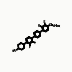 CCCCCCOc1ccc(-c2ccc(-c3ccc(C4CCC(CCC)CC4)c(F)c3F)cc2)c(F)c1F